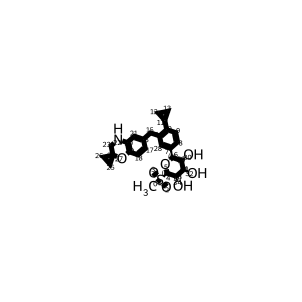 CS(=O)(=O)[C@H]1O[C@@H](c2ccc(C3CC3)c(Cc3ccc4c(c3)NCC3(CC3)O4)c2)[C@H](O)[C@@H](O)[C@@H]1O